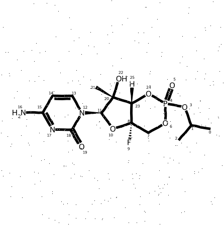 CC(C)OP1(=O)OC[C@@]2(F)O[C@@H](n3ccc(N)nc3=O)[C@](C)(O)[C@@H]2O1